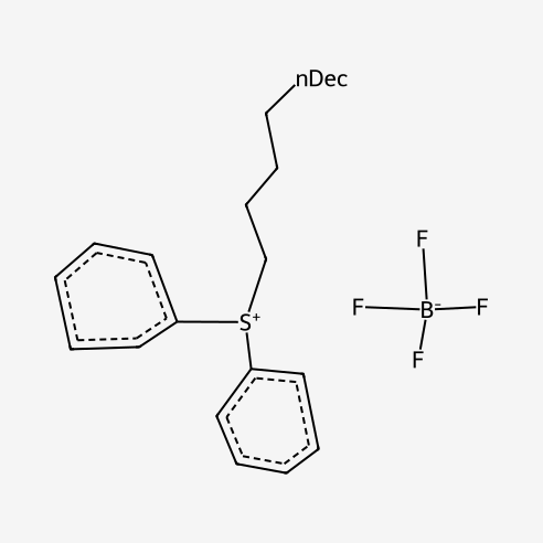 CCCCCCCCCCCCCC[S+](c1ccccc1)c1ccccc1.F[B-](F)(F)F